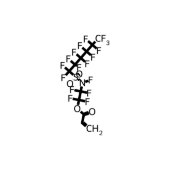 C=CC(=O)OC(F)(F)C(F)(F)N(F)S(=O)(=O)C(F)(F)C(F)(F)C(F)(F)C(F)(F)C(F)(F)C(F)(F)F